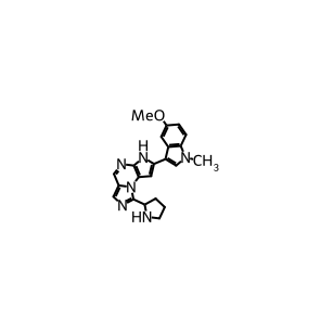 COc1ccc2c(c1)c(-c1cc3c(ncc4cnc(C5CCCN5)n43)[nH]1)cn2C